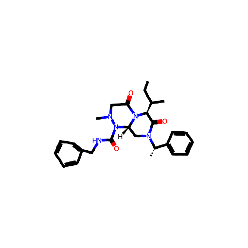 CCC(C)[C@H]1C(=O)N([C@@H](C)c2ccccc2)C[C@H]2N1C(=O)CN(C)N2C(=O)NCc1ccccc1